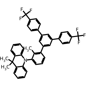 Cc1c(-c2cc(-c3ccc(C(F)(F)F)cc3)cc(-c3ccc(C(F)(F)F)cc3)c2)cccc1N1c2ccccc2C(C)(C)c2ccccc21